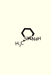 C[SiH]1CCCCO1.[NaH]